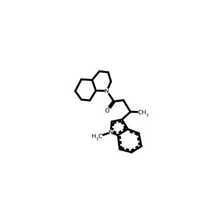 CC(CC(=O)N1CCCC2CCCCC21)c1cn(C)c2ccccc12